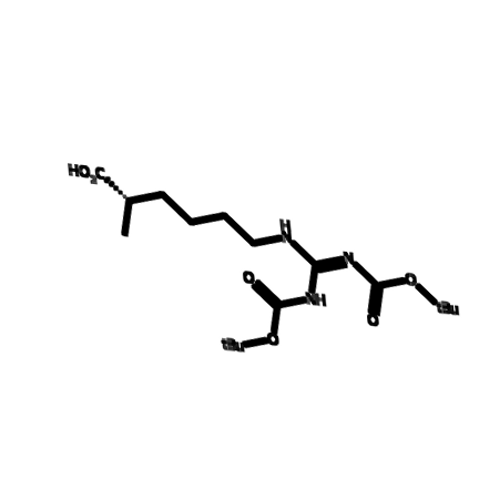 C[C@@H](CCCCN/C(=N/C(=O)OC(C)(C)C)NC(=O)OC(C)(C)C)C(=O)O